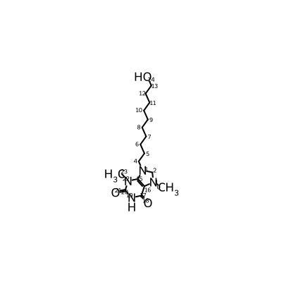 CN1CN(CCCCCCCCCCO)c2c1c(=O)[nH]c(=O)n2C